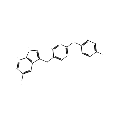 Clc1ccc(Nc2ncc(Cc3c[nH]c4ncc(I)cc34)cn2)cc1